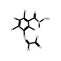 CON(C)C(=O)c1c(F)c(Br)c(F)c(F)c1Br.O=C(Cl)C(=O)Cl